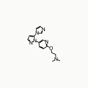 CN(C)CCOc1ccc(-n2nccc2-n2ccnc2)cn1